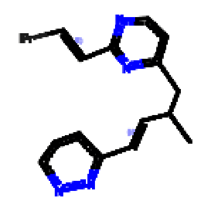 CC(C)/C=C/c1nccc(CC(C)/C=C/c2cccnn2)n1